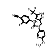 COc1ncc(N(Cc2cc(C(F)(F)F)[nH]n2)C(=O)Nc2ccc(C#N)c(F)c2)cn1